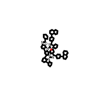 c1ccc(-c2nc3ccc4c5cc(-c6cccc7c8ccccc8n(-c8nc(-c9ccc(-c%10cccc%11ccccc%10%11)cc9)c9ccccc9n8)c67)ccc5n(-c5nc(-c6ccc(-c7cccc8ccccc78)cc6)c6ccccc6n5)c4c3o2)cc1